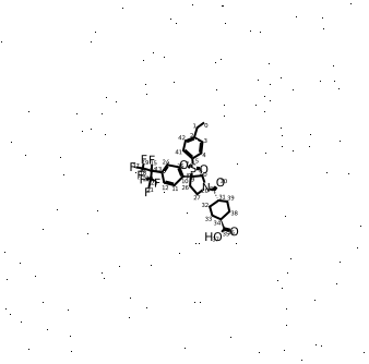 CCc1ccc(S(=O)(=O)[C@@]2(c3ccc(C(F)(C(F)(F)F)C(F)(F)F)cc3)CCN(C(=O)[C@H]3CC[C@H](C(=O)O)CC3)C2)cc1